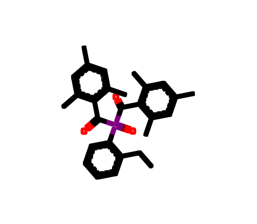 CCc1ccccc1P(=O)(C(=O)c1c(C)cc(C)cc1C)C(=O)c1c(C)cc(C)cc1C